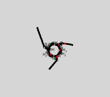 C#CC#CC#CC#CC#CC#CC#CC#CC#COC(=O)Cc1cc2c(O)c(c1)C(=O)NC1CC(C(=O)Nc3cc(CC(=O)OC#CC#CC#CC#CC#C)cc(c3O)C(=O)NC3CC(C(=O)Nc4cc(CC(=O)OC#CC#CC#CC#CC#C)cc(c4O)C(=O)NC4CC(C(=O)N2)C(N)CC4N)C(N)CC3N)C(N)CC1N